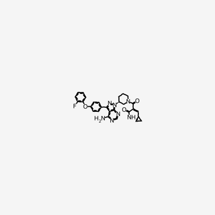 NC(=O)/C(=C\C1CC1)C(=O)N1CCC[C@H](n2nc(-c3ccc(Oc4ccccc4F)cc3)c3c(N)ncnc32)C1